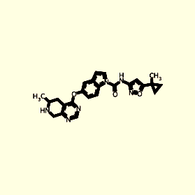 CC1Cc2c(ncnc2Oc2ccc3c(ccn3C(=O)Nc3cc(C4(C)CC4)on3)c2)CN1